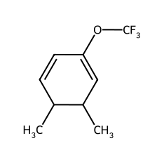 CC1C=CC(OC(F)(F)F)=CC1C